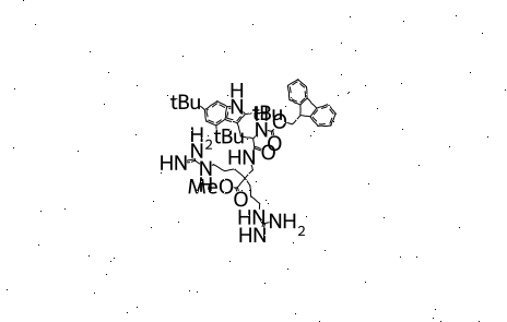 COC(=O)C(CCCNC(=N)N)(CCCNC(=N)N)CNC(=O)C(Cc1c(C(C)(C)C)[nH]c2cc(C(C)(C)C)cc(C(C)(C)C)c12)NC(=O)OCC1c2ccccc2-c2ccccc21